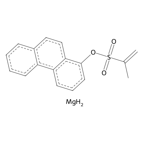 C=C(C)S(=O)(=O)Oc1cccc2c1ccc1ccccc12.[MgH2]